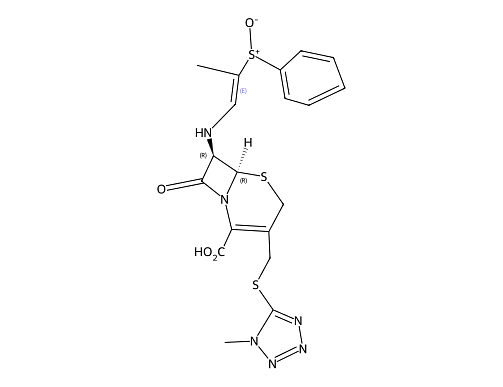 C/C(=C\N[C@@H]1C(=O)N2C(C(=O)O)=C(CSc3nnnn3C)CS[C@H]12)[S+]([O-])c1ccccc1